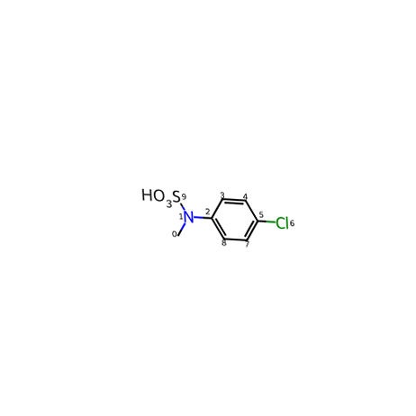 CN(c1ccc(Cl)cc1)S(=O)(=O)O